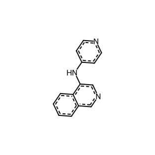 c1ccc2c(Nc3ccncc3)cncc2c1